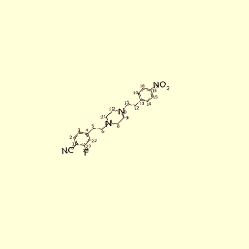 N#Cc1ccc(CCN2CCN(CCc3ccc([N+](=O)[O-])cc3)CC2)cc1F